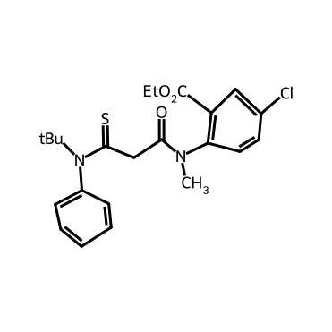 CCOC(=O)c1cc(Cl)ccc1N(C)C(=O)CC(=S)N(c1ccccc1)C(C)(C)C